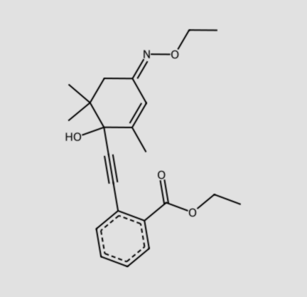 CCON=C1C=C(C)C(O)(C#Cc2ccccc2C(=O)OCC)C(C)(C)C1